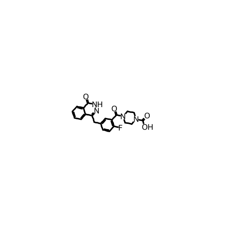 O=C(O)N1CCN(C(=O)c2cc(Cc3n[nH]c(=O)c4ccccc34)ccc2F)CC1